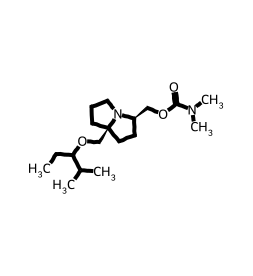 CCC(OC[C@@]12CCCN1[C@@H](COC(=O)N(C)C)CC2)C(C)C